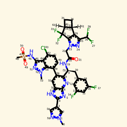 Cn1cc(-c2nc3nc([C@H](Cc4cc(F)cc(F)c4)NC(=O)Cn4nc(C(F)F)c5c4C(F)(F)[C@@H]4CC[C@H]54)c(-c4ccc(Cl)c5c(NS(C)(=O)=O)nn(C)c45)cc3[nH]2)cn1